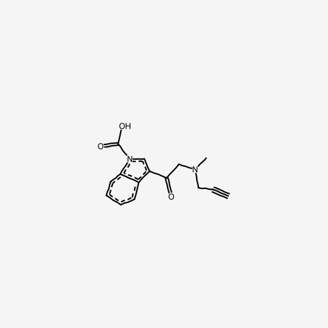 C#CCN(C)CC(=O)c1cn(C(=O)O)c2ccccc12